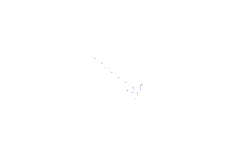 C=CC[N+](CC=C)(CC=C)CCCCCCCCCCCCCCCC.[Cl-]